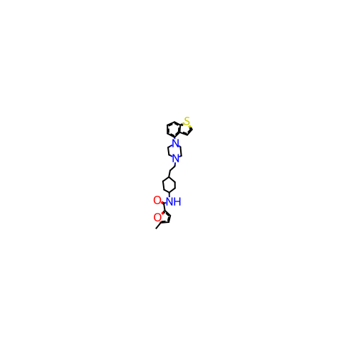 Cc1ccc(C(=O)NC2CCC(CCN3CCN(c4cccc5sccc45)CC3)CC2)o1